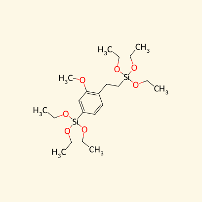 CCO[Si](CCc1ccc([Si](OCC)(OCC)OCC)cc1OC)(OCC)OCC